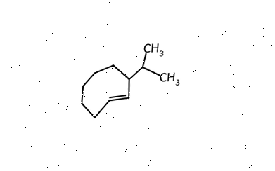 CC(C)C1/C=C/CCCCC1